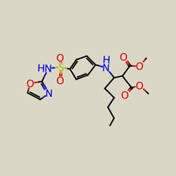 CCCCCC(Nc1ccc(S(=O)(=O)Nc2ncco2)cc1)C(C(=O)OC)C(=O)OC